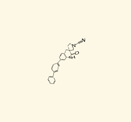 N#CN1CCC2(Cc3ccc(-c4ccc(-c5ccccc5)cc4)cc3NC2=O)C1